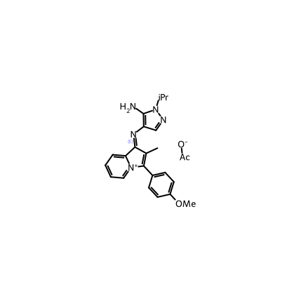 CC(=O)[O-].COc1ccc(C2=C(C)/C(=N\c3cnn(C(C)C)c3N)c3cccc[n+]32)cc1